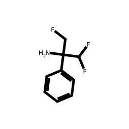 NC(CF)(c1ccccc1)C(F)F